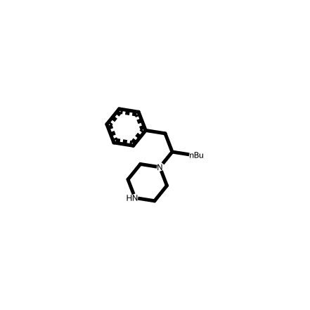 CCCCC(Cc1ccccc1)N1CCNCC1